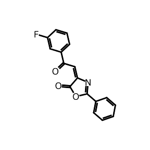 O=C1OC(c2ccccc2)=N/C1=C/C(=O)c1cccc(F)c1